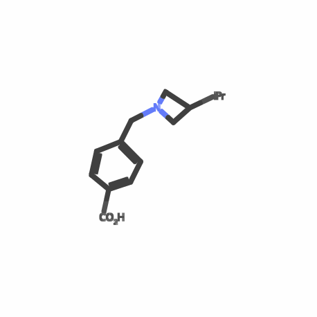 CC(C)C1CN(Cc2ccc(C(=O)O)cc2)C1